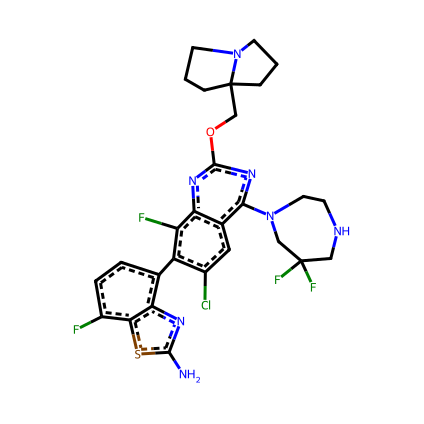 Nc1nc2c(-c3c(Cl)cc4c(N5CCNCC(F)(F)C5)nc(OCC56CCCN5CCC6)nc4c3F)ccc(F)c2s1